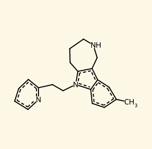 Cc1ccc2c(c1)c1c(n2CCc2ccccn2)CCCNC1